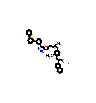 C=C/C(=C\c1ccc(C/C(C)=C/C=C2\Cc3ncnc(-c4cccc(-c5cccc6c5sc5ccccc56)c4)c3O2)cc1C)c1ccc2ccccc2c1